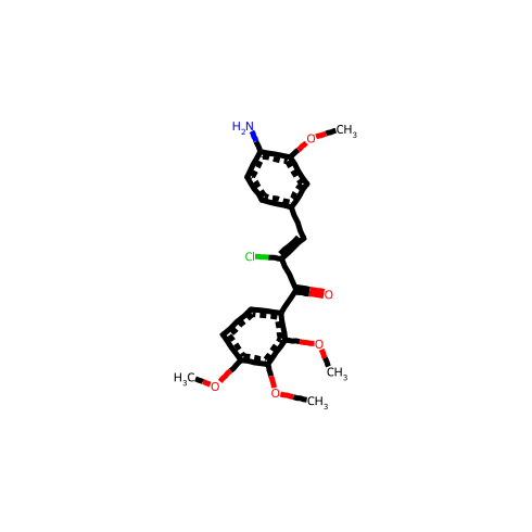 COc1cc(C=C(Cl)C(=O)c2ccc(OC)c(OC)c2OC)ccc1N